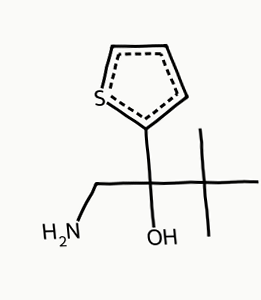 CC(C)(C)C(O)(CN)c1cccs1